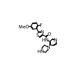 COc1ccc(F)c(-c2nc(C(=O)Nc3cnccc3N3CCNCC3)cs2)c1